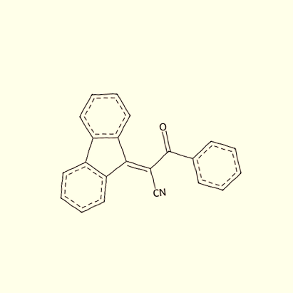 N#CC(C(=O)c1ccccc1)=C1c2ccccc2-c2ccccc21